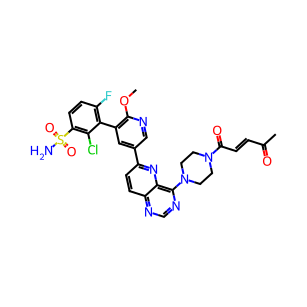 COc1ncc(-c2ccc3ncnc(N4CCN(C(=O)/C=C/C(C)=O)CC4)c3n2)cc1-c1c(F)ccc(S(N)(=O)=O)c1Cl